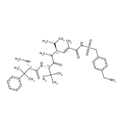 CN[C@H](C(=O)N[C@H](C(=O)N(C)[C@H](/C=C(\C)C(=O)NS(=O)(=O)Cc1ccc(CN)cc1)C(C)C)C(C)(C)C)C(C)(C)c1ccccc1